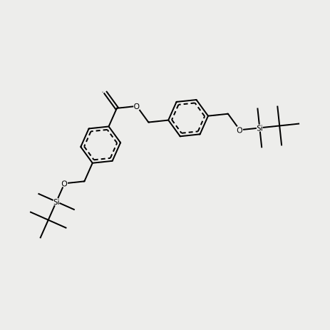 [CH]=C(OCc1ccc(CO[Si](C)(C)C(C)(C)C)cc1)c1ccc(CO[Si](C)(C)C(C)(C)C)cc1